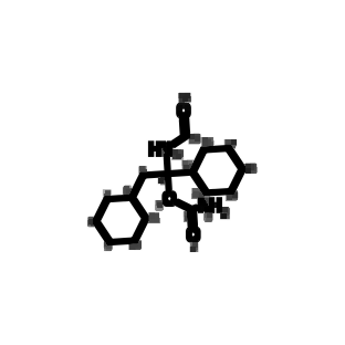 NC(=O)OC(CC1CCCCC1)(NC=O)C1CCCCC1